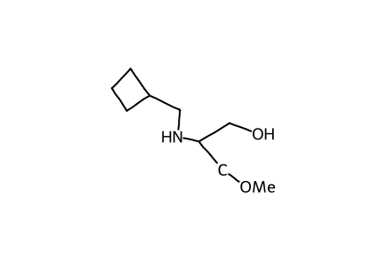 COCC(CO)NCC1CCC1